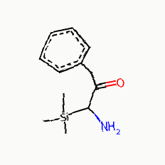 C[Si](C)(C)C(N)C(=O)c1ccccc1